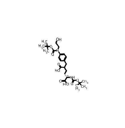 CC(C)(C)OC(=O)N[C@@H](CCC(Cc1ccc(N(CCO)C(=O)OC(C)(C)C)cc1)C(=O)O)C(=O)O